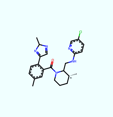 Cc1ccc(C2=NC(C)N=C2)c(C(=O)N2CCC[C@@H](C)C2CNc2ccc(Cl)cn2)c1